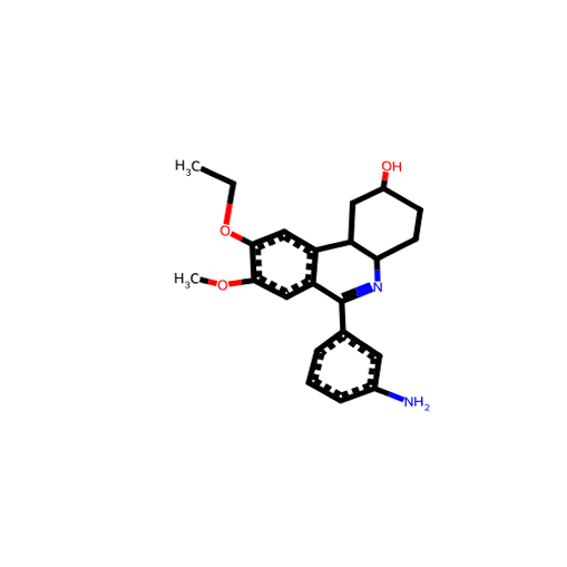 CCOc1cc2c(cc1OC)C(c1cccc(N)c1)=NC1CCC(O)CC21